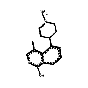 Cc1cnc(O)c2cccc(C3CCN(N)CC3)c12